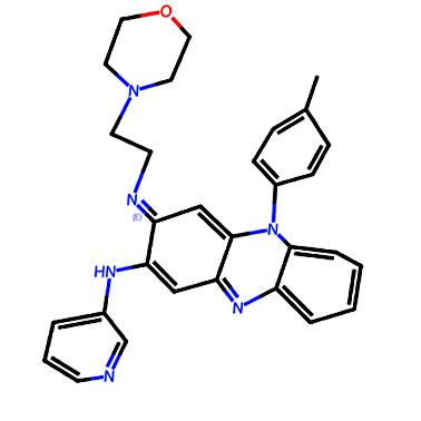 Cc1ccc(-n2c3c/c(=N\CCN4CCOCC4)c(Nc4cccnc4)cc-3nc3ccccc32)cc1